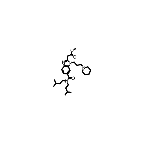 COC(=O)Cc1nc2ccc(C(=O)N(CCC(C)C)CCC(C)C)cc2n1CCCN1CCCCC1